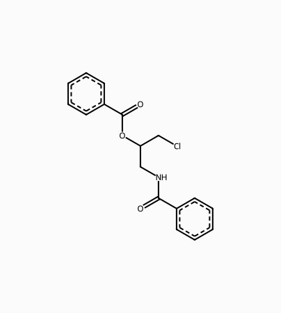 O=C(NCC(CCl)OC(=O)c1ccccc1)c1ccccc1